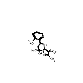 Cc1ccccc1C1CC(C)(C)n2nc(C)c(C(=O)O)c2N1